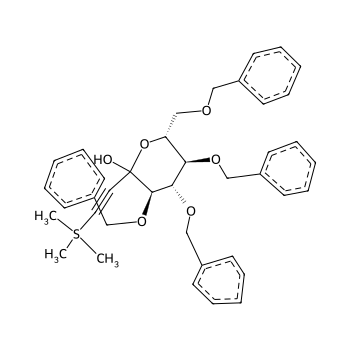 CS(C)(C)C#CC1(O)O[C@H](COCc2ccccc2)[C@@H](OCc2ccccc2)[C@H](OCc2ccccc2)[C@H]1OCc1ccccc1